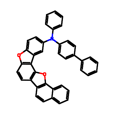 c1ccc(-c2ccc(N(c3ccccc3)c3ccc4oc5ccc6c7ccc8ccccc8c7oc6c5c4c3)cc2)cc1